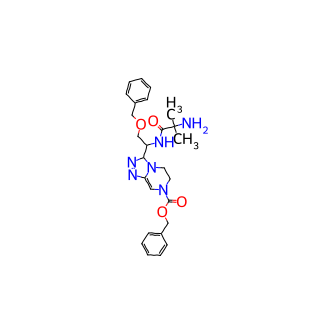 CC(C)(N)C(=O)NC(COCc1ccccc1)C1N=NC2=CN(C(=O)OCc3ccccc3)CCN21